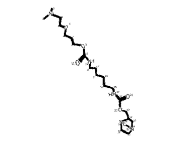 CN(C)CCOCCCOC(=O)NCCCCCCNC(=O)OCC1CN2CCN1CC2